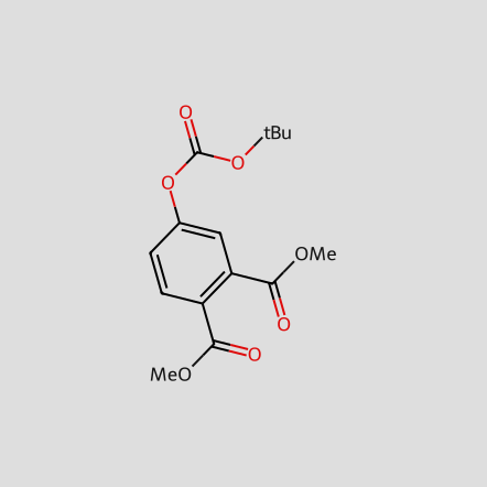 COC(=O)c1ccc(OC(=O)OC(C)(C)C)cc1C(=O)OC